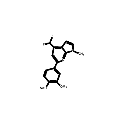 COc1ccc(-c2cc(C(F)F)c3cnn(C)c3n2)cc1OC